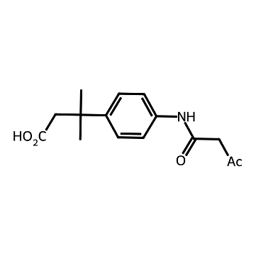 CC(=O)CC(=O)Nc1ccc(C(C)(C)CC(=O)O)cc1